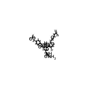 CC(=O)OCc1ccc(NC(=O)[C@H](CCCNC(N)=O)NC(=O)[C@@H](NC(=O)CCOCCC(C)C)C(C)C)cc1